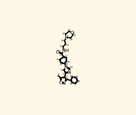 Cc1onc(-c2ccccc2)c1-c1cn(-c2ccc(C(=O)NCCCN3CCOCC3)cc2)cn1